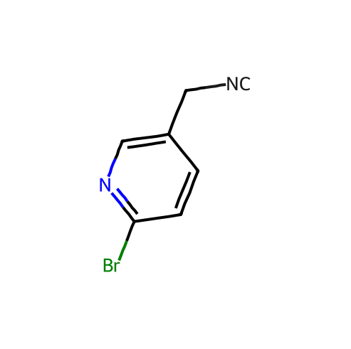 [C-]#[N+]Cc1ccc(Br)nc1